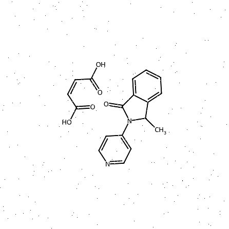 CC1c2ccccc2C(=O)N1c1ccncc1.O=C(O)/C=C\C(=O)O